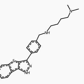 CN(C)CCCCNCc1ccc(-c2n[nH]c3c2sc2ccccc23)cc1